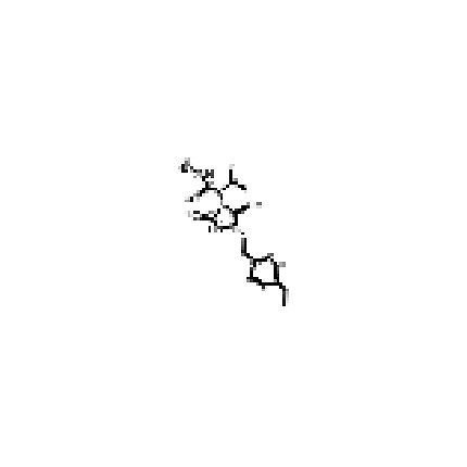 CCc1ccc(CC[C@@H]2NC(=O)N([C@@H](C(=O)NO)C(C)C)C2=O)cc1